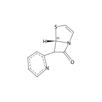 O=C1C(c2ccccn2)[C@@H]2SC=CN12